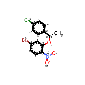 C[C@H](Oc1cc(Br)ccc1[N+](=O)[O-])c1ccc(Cl)cc1